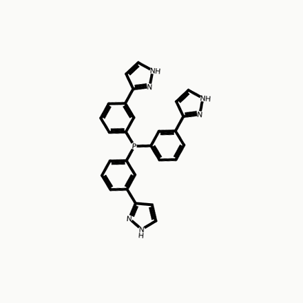 c1cc(-c2cc[nH]n2)cc(P(c2cccc(-c3cc[nH]n3)c2)c2cccc(-c3cc[nH]n3)c2)c1